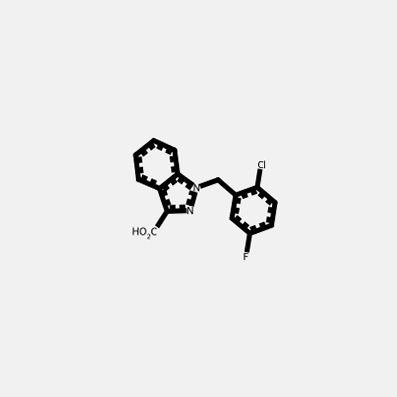 O=C(O)c1nn(Cc2cc(F)ccc2Cl)c2ccccc12